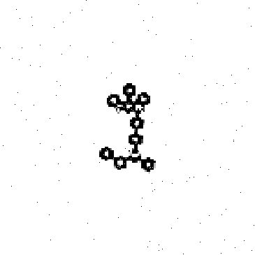 c1ccc(-c2cccc(-c3cc(-c4ccccc4)nc(-c4ccc(-c5ccc(-c6nc7ccccc7c7c(-c8ccccc8)c8c(cc67)oc6ccccc68)cc5)cc4)n3)c2)cc1